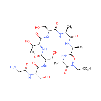 CC(C)[C@H](NC(=O)[C@H](C)NC(=O)[C@H](C)NC(=O)[C@H](CO)NC(=O)[C@@H](NC(=O)[C@H](CO)NC(=O)[C@H](CO)NC(=O)CN)[C@@H](C)O)C(=O)NCC(=O)O